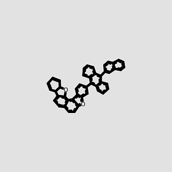 C1=CC2Oc3c(ccc4ccc5oc6cc(-c7c8ccccc8c(-c8ccc9ccccc9c8)c8ccccc78)ccc6c5c34)C2C=C1